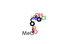 COC(=O)COc1ccc(C[C@H](C)N[C@](C)(O)c2cccc(Cl)c2)cc1